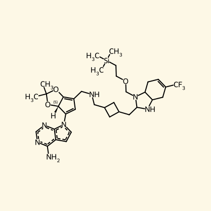 CC1(C)OC2=C(CNCC3CC(CC4NC5CC(C(F)(F)F)=CCC5N4COCC[Si](C)(C)C)C3)C=C(n3ccc4c(N)ncnc43)[C@@H]2O1